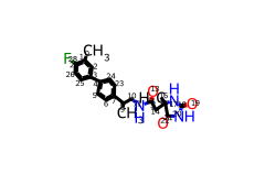 Cc1cc(-c2ccc(C(C)CNC(=O)CC3(C)NC(=O)NC3=O)cc2)ccc1F